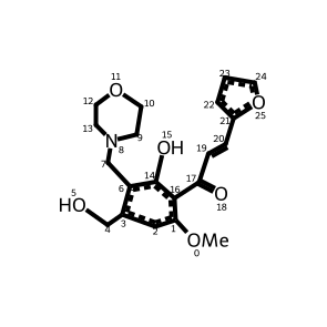 COc1cc(CO)c(CN2CCOCC2)c(O)c1C(=O)/C=C/c1ccco1